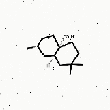 C[C@H]1CC[C@@]2(C(=O)O)CCC(C)(C)C[C@H]2C1